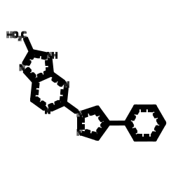 O=C(O)c1nc2cnc(-n3cc(-c4ccccc4)cn3)nc2[nH]1